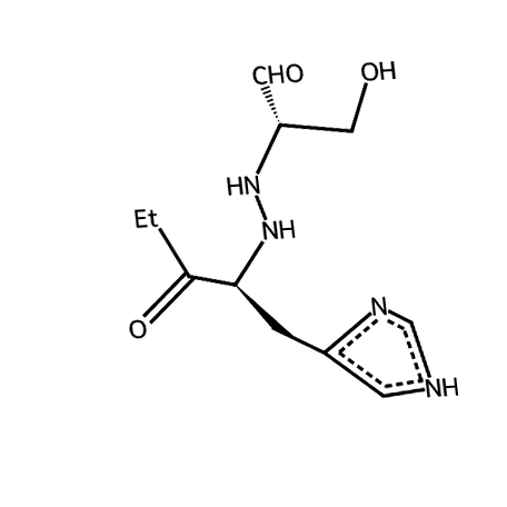 CCC(=O)[C@H](Cc1c[nH]cn1)NN[C@H](C=O)CO